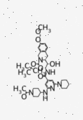 COCOc1ccc2c(c1)CN(C(=O)OC(C)(C)C)[C@H]([C@H](O)CNC(=O)c1cc(NC3CCN(C(C)=O)CC3)nc(N3CCCCC3)c1)C2